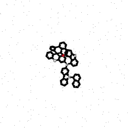 c1ccc2c(c1)Oc1cc(N(c3ccc4c5ccccc5n(-c5cccc6ccccc56)c4c3)c3cccc4sc5ccccc5c34)ccc1C21c2ccccc2-c2cccc3cccc1c23